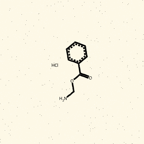 Cl.NCOC(=O)c1ccccc1